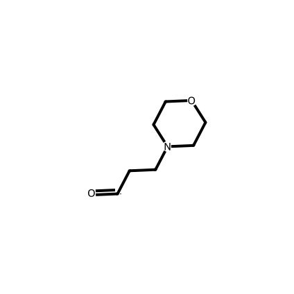 O=[C]CCN1CCOCC1